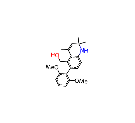 COc1cccc(OC)c1-c1ccc2c(c1CO)C(C)=CC(C)(C)N2